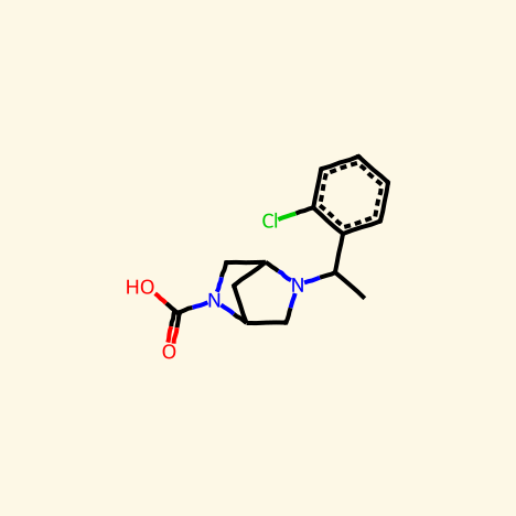 CC(c1ccccc1Cl)N1CC2CC1CN2C(=O)O